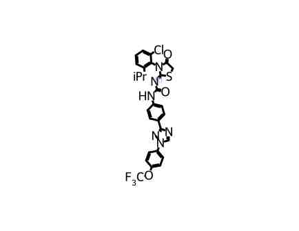 CC(C)c1cccc(Cl)c1N1C(=O)CS/C1=N\C(=O)Nc1ccc(-c2ncn(-c3ccc(OC(F)(F)F)cc3)n2)cc1